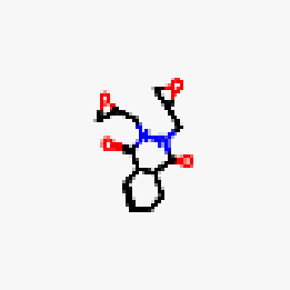 O=C1C2C=CCCC2C(=O)N(CC2CO2)N1CC1CO1